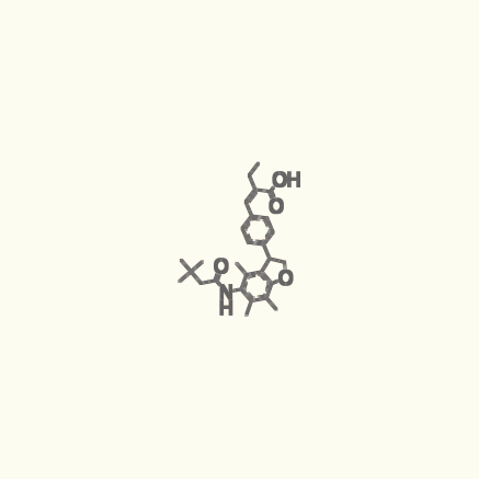 CCC(=Cc1ccc(C2COc3c(C)c(C)c(NC(=O)CC(C)(C)C)c(C)c32)cc1)C(=O)O